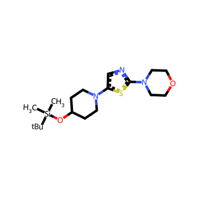 CC(C)(C)[Si](C)(C)OC1CCN(c2cnc(N3CCOCC3)s2)CC1